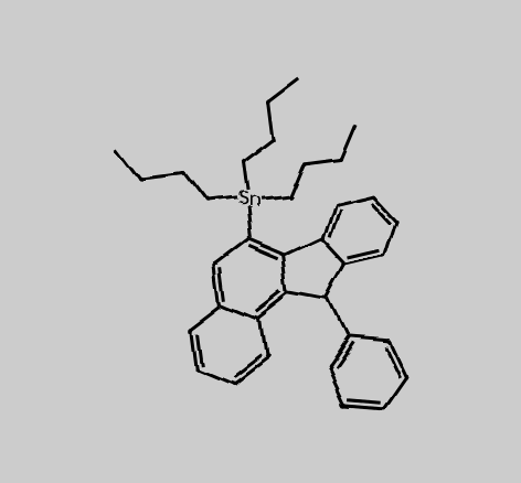 CCC[CH2][Sn]([CH2]CCC)([CH2]CCC)[c]1cc2ccccc2c2c1-c1ccccc1C2c1ccccc1